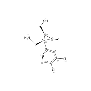 C[C@@H]1[C@H](CO)[C@@]1(CN)c1ccc(Cl)c(Cl)c1